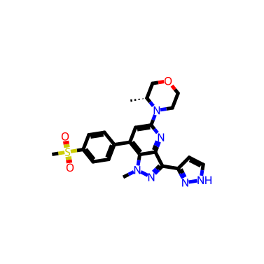 C[C@@H]1COCCN1c1cc(-c2ccc(S(C)(=O)=O)cc2)c2c(n1)c(-c1cc[nH]n1)nn2C